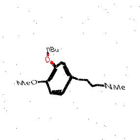 CCCCOc1cc(CCNC)ccc1OC